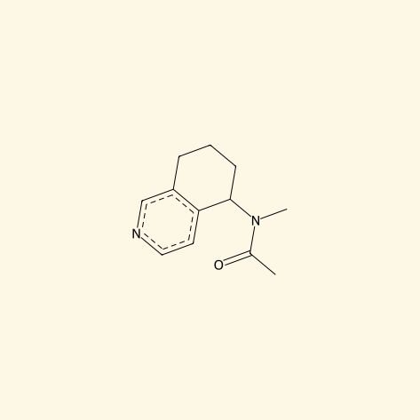 CC(=O)N(C)C1CCCc2cnccc21